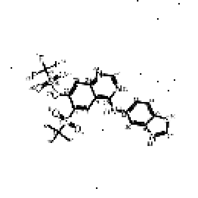 CC(C)(C)S(=O)(=O)c1cc2c(Nc3ccc4scnc4c3)ncnc2cc1OS(=O)(=O)C(F)(F)F